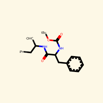 CC(C)CC([C]=O)NC(=O)C(Cc1ccccc1)NC(=O)OC(C)(C)C